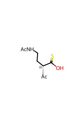 CC(=O)NCC[C@@H](C(C)=O)C(O)=S